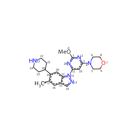 COc1nc(N2CCOCC2)cc(-n2ncc3cc(C)c(C4CCNCC4)cc32)n1